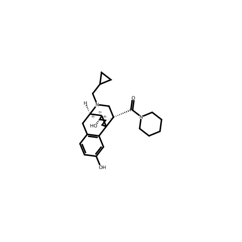 O=C([C@@H]1CC23CCN(CC4CC4)[C@H](Cc4ccc(O)cc42)[C@]3(O)C1)N1CCCCC1